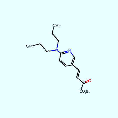 CCOC(=O)C(=O)/C=C/c1ccc(N(CCOC)CCOC)nc1